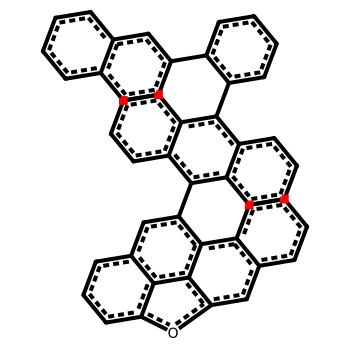 c1ccc(-c2c3ccccc3c(-c3cc4cccc5oc6cc7ccccc7c3c6c45)c3ccccc23)c(-c2ccc3ccccc3c2)c1